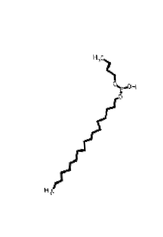 CCCCCCCCCCCCCCCCCCOP(O)OCCCC